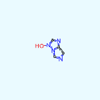 On1cnc2cncn21